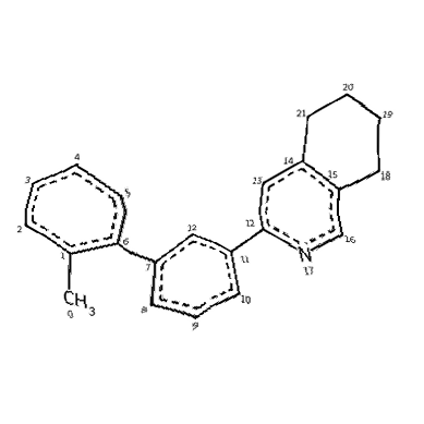 Cc1ccccc1-c1cccc(-c2cc3c(cn2)CCCC3)c1